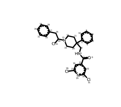 O=C(NCC1(c2ccccc2)CCN(C(Cl)Cc2ccccc2)CC1)c1cc(Cl)nc(Cl)c1